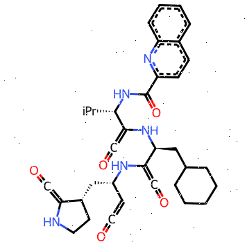 CC(C)[C@H](NC(=O)c1ccc2ccccc2n1)C(=C=O)N[C@@H](CC1CCCCC1)C(=C=O)N[C@H](C=C=O)C[C@@H]1CCNC1=C=O